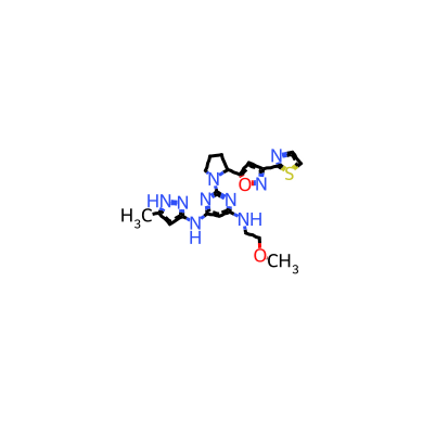 COCCNc1cc(Nc2cc(C)[nH]n2)nc(N2CCCC2c2cc(-c3nccs3)no2)n1